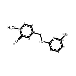 Cn1ccc(COc2cccc(Br)n2)cc1=O